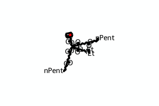 CCCCC/C=C\CCOC(=O)CCCCC(=O)OCC(COC(=O)CCCCC(=O)OCC/C=C\CCCCC)(COC(=O)CC12CC3CC(CC(C3)C1)C2)COC(=O)OCCCN(CC)CC